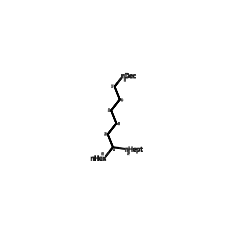 [CH2]CCCCCC(CCCCCCC)CCCCCCCCCCCCCCC